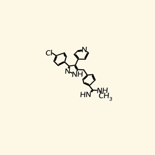 CNC(=N)c1ccc(Cc2[nH]nc(-c3ccc(Cl)cc3)c2-c2ccncc2)cc1